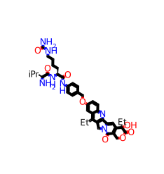 CCc1c2c(nc3ccc(OCc4ccc(NC(=O)[C@H](CCCCNC(N)=O)NC(=O)[C@@H](N)C(C)C)cc4)cc13)-c1cc3c(c(=O)n1C2)COC(=O)[C@]3(O)CC